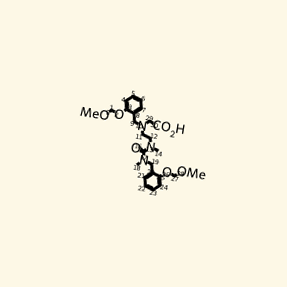 COCOc1ccccc1CN(CCN(C)C(=O)N(C)Cc1ccccc1OCOC)CC(=O)O